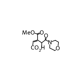 COC(=O)/C(=C/C(=O)O)C(C)C(=O)N1CCOCC1